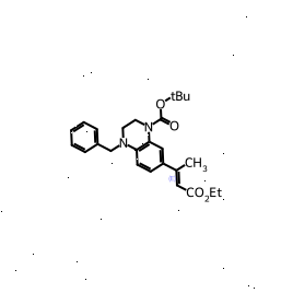 CCOC(=O)/C=C(\C)c1ccc2c(c1)N(C(=O)OC(C)(C)C)CCN2Cc1ccccc1